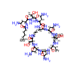 CC[C@H](C)CCCCC(=O)N[C@@H](CCN)C(=O)N[C@H](C(=O)N[C@@H](CCN)C(=O)N[C@H]1CCNC(=O)[C@H]([C@@H](C)O)NC(=O)[C@H](CCN)NC(=O)[C@H](CCN)NC(=O)[C@H](CC(C)C)NC[C@](C=O)([C@@H](C)O)NC(=O)[C@H](CCN)NC1=O)[C@@H](C)O